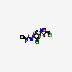 CCN(C)C=Nc1cc(C)c(C2=NOC(CCl)C2)cc1Cl